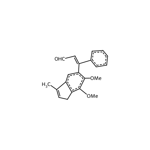 COc1c(/C(=C\C=O)c2ccccc2)cc2c(c1OC)CC=C2C